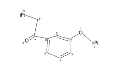 CCCOc1cccc(C(=O)CC(C)C)c1